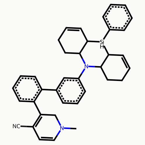 CN1C=CC(C#N)=C(c2ccccc2-c2cccc(N3C4CCC=CC4[SiH](c4ccccc4)C4C=CCCC43)c2)C1